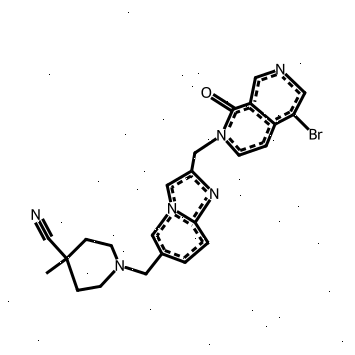 CC1(C#N)CCN(Cc2ccc3nc(Cn4ccc5c(Br)cncc5c4=O)cn3c2)CC1